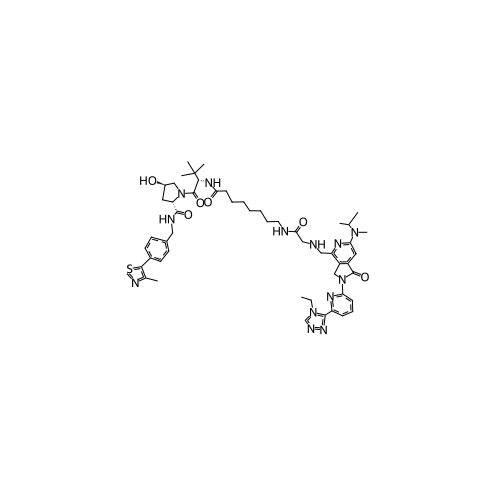 CCn1cnnc1-c1cccc(N2Cc3c(cc(N(C)C(C)C)nc3CNCC(=O)NCCCCCCCC(=O)N[C@H](C(=O)N3C[C@H](O)C[C@H]3C(=O)NCc3ccc(-c4scnc4C)cc3)C(C)(C)C)C2=O)n1